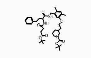 Cc1cc(C)c(OCCC2CCCN(C(=O)OC(C)(C)C)C2)cc1CNC(=O)C(CCc1ccccc1)NC(=O)CCC(=O)OC(C)(C)C